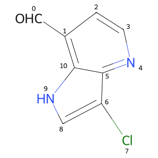 O=Cc1ccnc2c(Cl)c[nH]c12